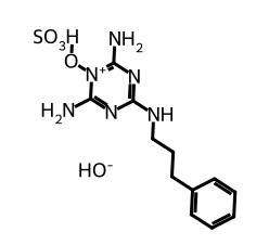 Nc1nc(NCCCc2ccccc2)nc(N)[n+]1OS(=O)(=O)O.[OH-]